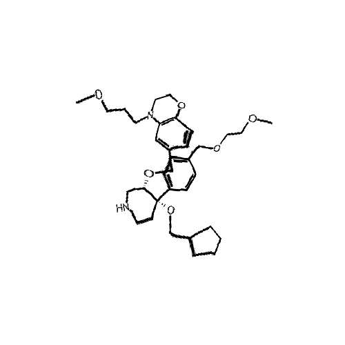 COCCCN1CCOc2ccc(CO[C@H]3CNCC[C@]3(OCC3CCCC3)c3ccc(COCCOC)cc3)cc21